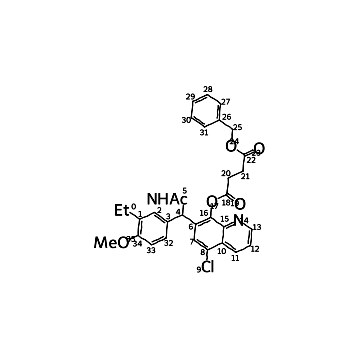 CCc1cc(C(NC(C)=O)c2cc(Cl)c3cccnc3c2OC(=O)CCC(=O)OCc2ccccc2)ccc1OC